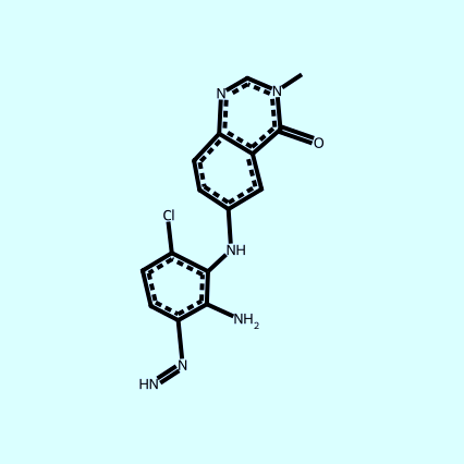 Cn1cnc2ccc(Nc3c(Cl)ccc(N=N)c3N)cc2c1=O